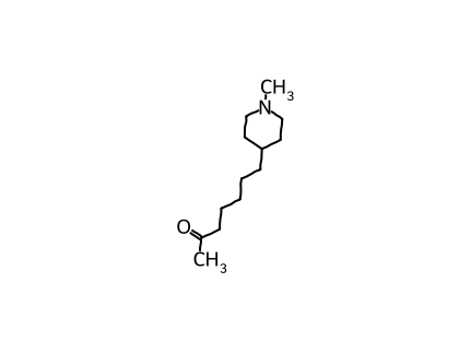 CC(=O)CCCCCC1CCN(C)CC1